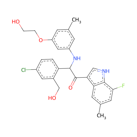 Cc1cc(NC(C(=O)c2c[nH]c3c(F)cc(C)cc23)c2ccc(Cl)cc2CO)cc(OCCO)c1